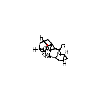 N#C[C@@H]1C[C@@H]2C[C@@H]2N1C(=O)C1N2C[C@@H]3C[C@H]4C[C@@](O)(C3)C[C@@]12C4